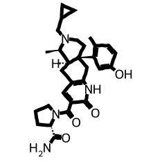 Cc1ccc(O)cc1[C@]12CCN(CC3CC3)[C@H](C)[C@@H]1Cc1cc(C(=O)N3CCC[C@H]3C(N)=O)c(=O)[nH]c1C2